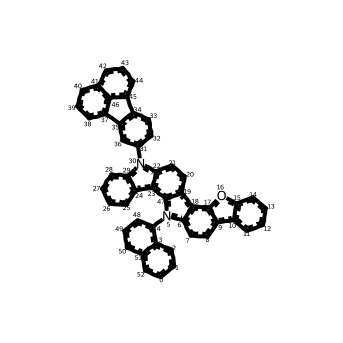 c1ccc2c(-n3c4ccc5c6ccccc6oc5c4c4ccc5c(c6ccccc6n5-c5ccc6c(c5)-c5cccc7cccc-6c57)c43)cccc2c1